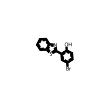 Oc1ccc(Br)cc1-c1nc2ccccc2s1